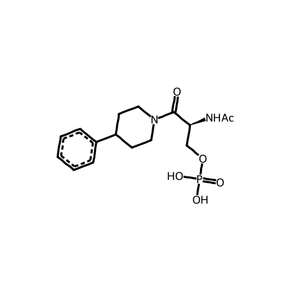 CC(=O)N[C@@H](COP(=O)(O)O)C(=O)N1CCC(c2ccccc2)CC1